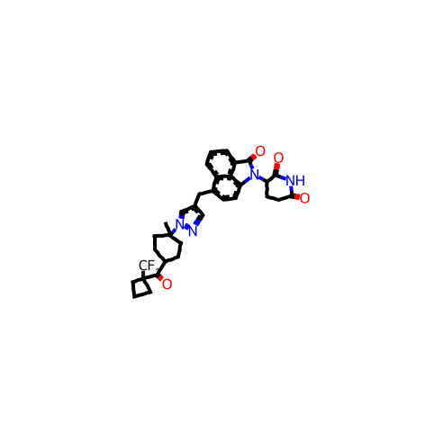 CC1(n2cc(Cc3ccc4c5c(cccc35)C(=O)N4C3CCC(=O)NC3=O)cn2)CCC(C(=O)C2(C(F)(F)F)CCC2)CC1